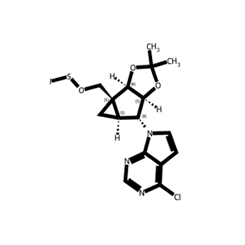 CC1(C)O[C@H]2[C@H](n3ccc4c(Cl)ncnc43)[C@H]3C[C@]3(COSI)[C@H]2O1